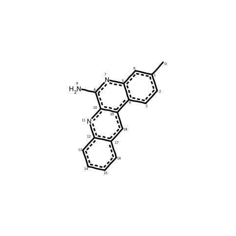 Cc1ccc2c(c1)nc(N)c1nc3ccccc3cc12